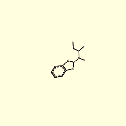 CCC(C)N(C)C1Oc2ccccc2O1